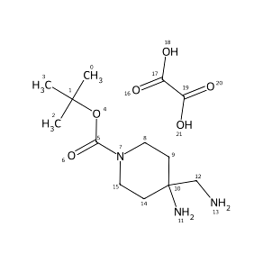 CC(C)(C)OC(=O)N1CCC(N)(CN)CC1.O=C(O)C(=O)O